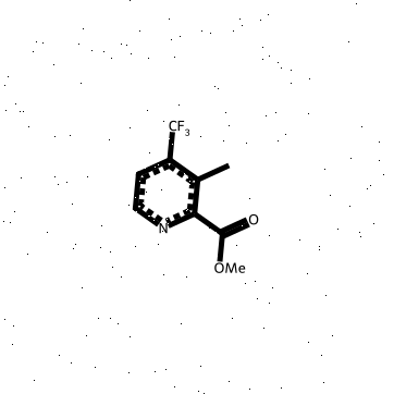 COC(=O)c1nccc(C(F)(F)F)c1C